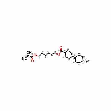 C=C(C)C(=O)OCCCCCCOC(=O)C1CCC(C2CCC(CCC)CC2)CC1